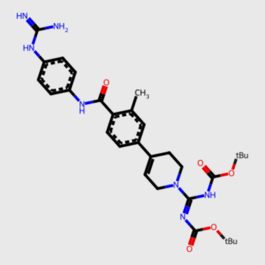 Cc1cc(C2=CCN(C(=NC(=O)OC(C)(C)C)NC(=O)OC(C)(C)C)CC2)ccc1C(=O)Nc1ccc(NC(=N)N)cc1